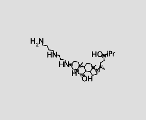 CC(C)[C@H](O)CC[C@@H](C)[C@H]1CCC2C3C(CC[C@@]21C)[C@@]1(C)CC[C@H](NCCCNCCCCN)C[C@@H]1C[C@H]3O